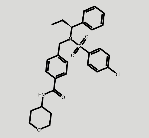 CC[C@@H](c1ccccc1)N(Cc1ccc(C(=O)NC2CCOCC2)cc1)S(=O)(=O)c1ccc(Cl)cc1